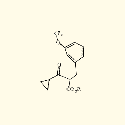 CCOC(=O)C(Cc1cccc(OC(F)(F)F)c1)C(=O)C1CC1